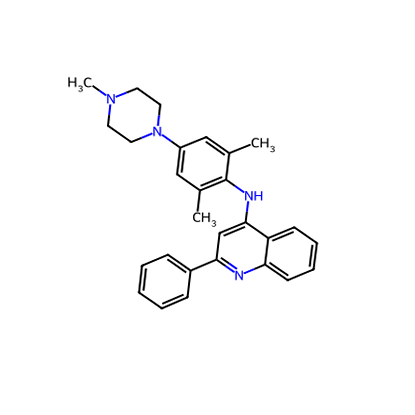 Cc1cc(N2CCN(C)CC2)cc(C)c1Nc1cc(-c2ccccc2)nc2ccccc12